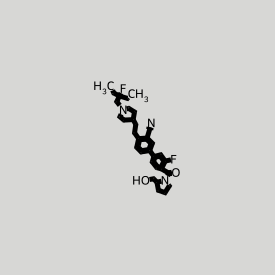 CCC(F)(CC)CN1CCC(CCc2ccc(-c3ccc(C(=O)N4CCCC4CO)c(F)c3)cc2C#N)CC1